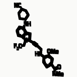 CNC(=O)c1ccc(NCC#Cc2cc3c(N[C@H]4CC[C@@H](C#N)CC4)cccc3n2CC(F)(F)F)c(OC)c1